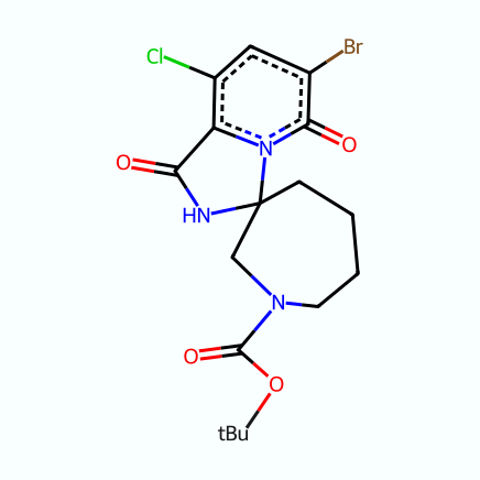 CC(C)(C)OC(=O)N1CCCCC2(C1)NC(=O)c1c(Cl)cc(Br)c(=O)n12